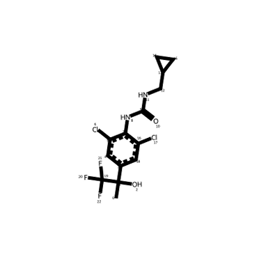 CC(O)(c1cc(Cl)c(NC(=O)NCC2CC2)c(Cl)c1)C(F)(F)F